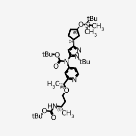 C[C@@H](CCO[C@H](C)c1cc(N(C(=O)OC(C)(C)C)c2cc([C@H]3CC[C@@H](O[Si](C)(C)C(C)(C)C)C3)nn2C(C)(C)C)ccn1)NC(=O)OC(C)(C)C